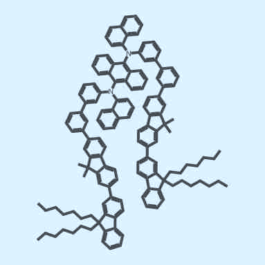 CCCCCCCC1(CCCCCCC)c2ccccc2-c2ccc(-c3ccc4c(c3)C(C)(C)c3cc(-c5cccc(-c6cccc(N(c7cccc8ccccc78)c7c8ccccc8c(N(c8cccc(-c9cccc(-c%10ccc%11c(c%10)C(C)(C)c%10cc(-c%12ccc%13c(c%12)C(CCCCCCC)(CCCCCCC)c%12ccccc%12-%13)ccc%10-%11)c9)c8)c8cccc9ccccc89)c8ccccc78)c6)c5)ccc3-4)cc21